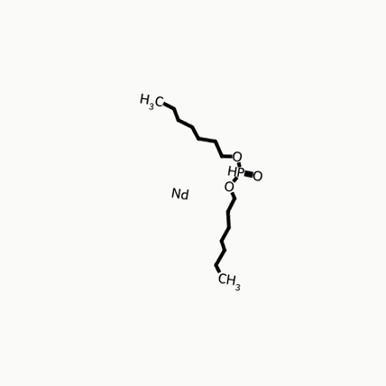 CCCCCCCO[PH](=O)OCCCCCCC.[Nd]